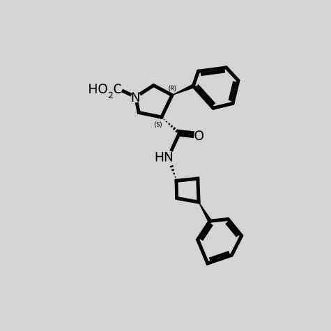 O=C(N[C@H]1C[C@H](c2ccccc2)C1)[C@@H]1CN(C(=O)O)C[C@H]1c1ccccc1